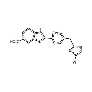 O=C(O)c1ccc2[nH]c(-c3ccc(Cc4ccc(Cl)s4)cc3)nc2c1